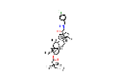 CC(C)C1=C2[C@H]3CC[C@@H]4[C@@]5(C)CC[C@H](OC(=O)CC(C)(C)CC(=O)O)C6(C)C[C@]65CC[C@@]4(C)[C@]3(C)CC[C@@]2([C@H](O)CNCc2ccc(Cl)cc2)CC1